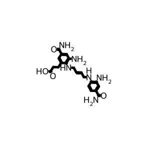 NC(=O)c1ccc(NCC=CCNc2c(N)cc(C(N)=O)cc2CCC(=O)O)c(N)c1